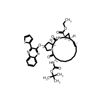 CCOC(=O)[C@@]12C[C@H]1/C=C\CCCCC[C@H](NC(=O)OC(C)(C)C)C(=O)N1C[C@H](Oc3nc4ccccc4nc3-c3cccs3)C[C@H]1C(=O)N2